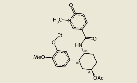 CCOc1cc([C@H]2C[C@H](OC(C)=O)CC[C@H]2NC(=O)c2ccc(=O)n(C)c2)ccc1OC